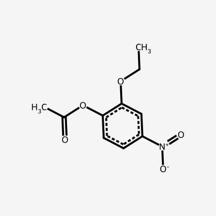 CCOc1cc([N+](=O)[O-])ccc1OC(C)=O